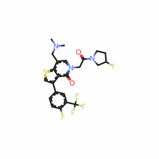 CN(C)Cc1cn(CC(=O)N2CCC(F)C2)c(=O)c2c(-c3ccc(F)c(C(F)(F)F)c3)csc12